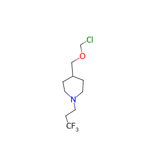 FC(F)(F)CCN1CCC(COCCl)CC1